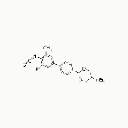 CCCCC1COC(c2ccc(-c3cc(C)c(N=C=S)c(F)c3)cc2)OC1